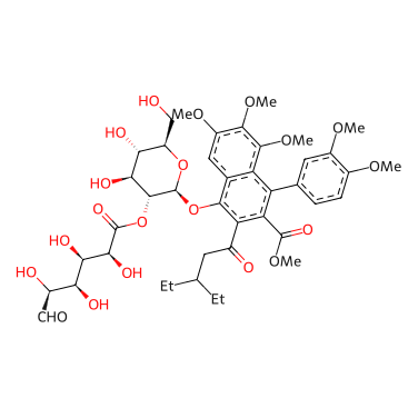 CCC(CC)CC(=O)c1c(C(=O)OC)c(-c2ccc(OC)c(OC)c2)c2c(OC)c(OC)c(OC)cc2c1O[C@@H]1O[C@H](CO)[C@@H](O)[C@H](O)[C@H]1OC(=O)[C@@H](O)[C@H](O)[C@@H](O)[C@H](O)C=O